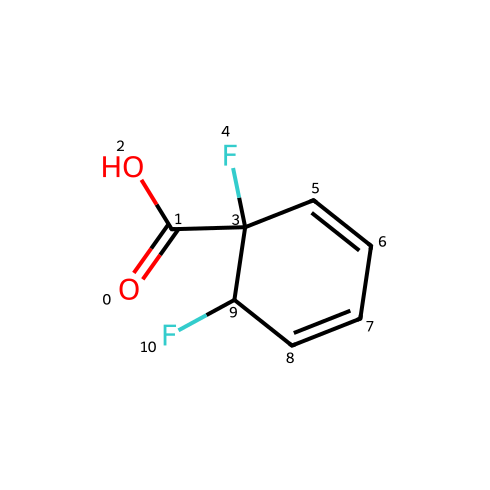 O=C(O)C1(F)C=CC=CC1F